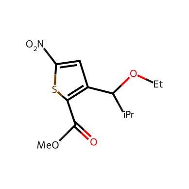 CCOC(c1cc([N+](=O)[O-])sc1C(=O)OC)C(C)C